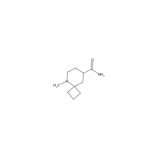 CN1CCC(C(N)=O)CC12CCC2